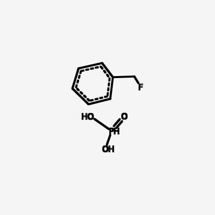 FCc1ccccc1.O=[PH](O)O